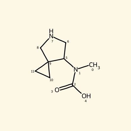 CN(C(=O)O)C1CNCC12CC2